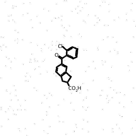 O=C(c1ccc2c(c1)CC(C(=O)O)C2)c1ccccc1Cl